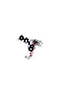 COCO[C@@H]1CC[C@H]2[C@H](C1)C[C@H](O[Si](C)(C)C(C)(C)C)[C@H]2C=Cc1ccc(-c2cccc(F)c2)cn1